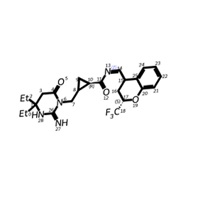 CCC1(CC)CC(=O)N(CC2C[C@H]2C(=O)/N=C\C2C[C@@H](C(F)(F)F)Oc3ccccc32)C(=N)N1